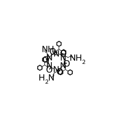 NCCCN1CC(=O)N(CC(c2ccccc2)c2ccccc2)CC(=O)N(CCCN)CC(=O)N(CC(c2ccccc2)c2ccccc2)CC(=O)N(CCCN)CC(=O)N(CC(c2ccccc2)c2ccccc2)CC1=O